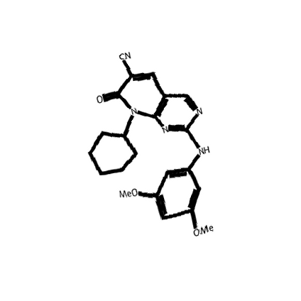 COc1cc(Nc2ncc3cc(C#N)c(=O)n(C4CCCCC4)c3n2)cc(OC)c1